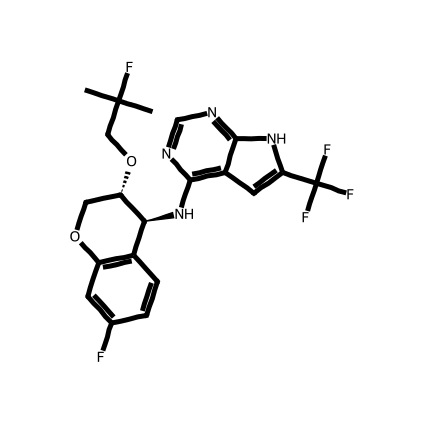 CC(C)(F)CO[C@H]1COc2cc(F)ccc2[C@@H]1Nc1ncnc2[nH]c(C(F)(F)F)cc12